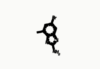 Cc1cc(Br)cc2sc(N)nc12